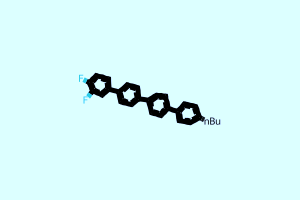 CCCCc1ccc(-c2ccc(-c3ccc(-c4ccc(F)c(F)c4)cc3)cc2)cc1